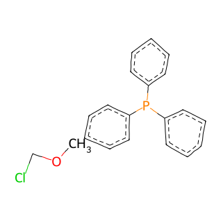 COCCl.c1ccc(P(c2ccccc2)c2ccccc2)cc1